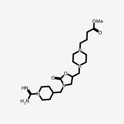 COC(=O)CCCN1CCN(CC2CN(CC3CCN(C(=N)N)CC3)C(=O)O2)CC1